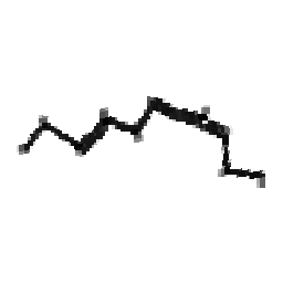 CCC=C=CCC=CCC